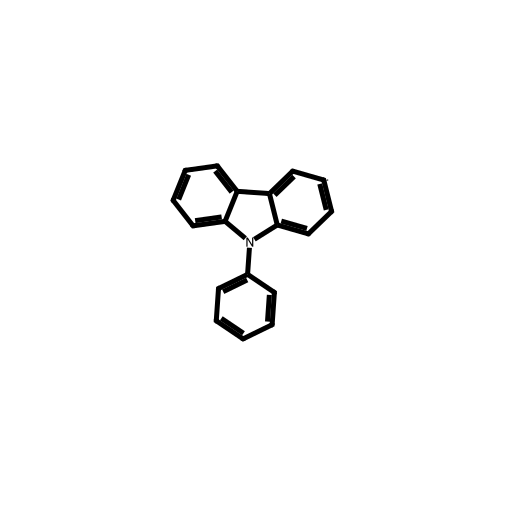 [c]1ccc2c(c1)c1ccccc1n2-c1ccccc1